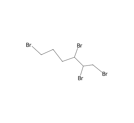 BrCCCC(Br)C(Br)CBr